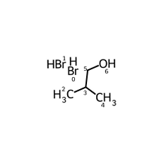 Br.Br.CC(C)CO